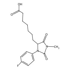 CN1C(=O)C(CCCCCCC(=O)O)N(c2ccc(F)cc2)C1=O